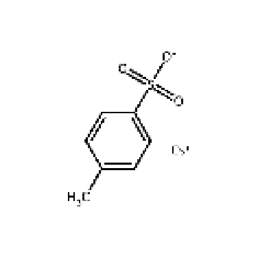 Cc1ccc(S(=O)(=O)[O-])cc1.[Cs+]